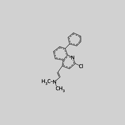 CN(C)/C=C/c1cc(Cl)nc2c(-c3ccccc3)cccc12